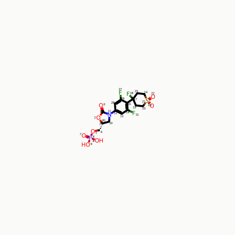 O=C1O[C@@H](COP(=O)(O)O)CN1c1cc(F)c(C2(F)CCS(=O)(=O)CC2)c(F)c1